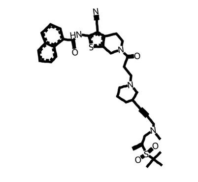 C=C(CN(C)CC#CC1CCCN(CCC(=O)N2CCc3c(sc(NC(=O)c4cccc5ccccc45)c3C#N)C2)C1)S(=O)(=O)C(C)(C)C